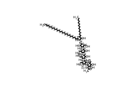 CCCCCCCCCCCCC/C=C/[C@@H](O)[C@H](CO[C@@H]1OC(CO)[C@@H](O[C@@H]2OC(CO)[C@H](O)[C@H](O[C@H]3OC(CO)[C@H](O)[C@H](O[C@H]4OC(CO)[C@H](O)[C@H](O[C@@H]5OC(CO)[C@H](O)[C@H](O)C5NC(C)=O)C4O)C3O)C2O)[C@H](O)C1O)NC(=O)CCCCCCCCCCCCCCCCCCCCCCCCC